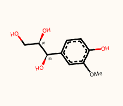 COc1cc([C@@H](O)[C@H](O)CO)ccc1O